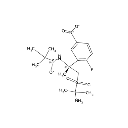 CC(C)(C)[S@@+]([O-])N[C@@](C)(CS(=O)(=O)C(C)(C)N)c1cc([N+](=O)[O-])ccc1F